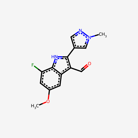 COc1cc(F)c2[nH]c(-c3cnn(C)c3)c(C=O)c2c1